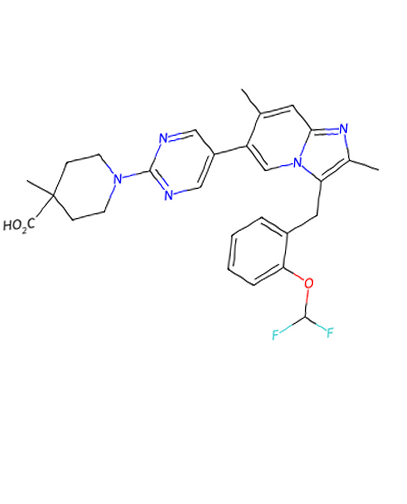 Cc1cc2nc(C)c(Cc3ccccc3OC(F)F)n2cc1-c1cnc(N2CCC(C)(C(=O)O)CC2)nc1